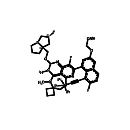 [2H]N1C2=c3c(nc(-c4cc(OCOC)cc5ccc(F)c(C#C[Si](C(C)C)(C(C)C)C(C)C)c45)c(F)c3=NC1OC[C@@]13CCCN1C[C@H](F)C3)OCC1(CCC1)N2C